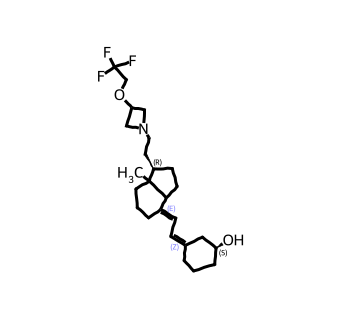 CC12CCC/C(=C\C=C3\CCC[C@H](O)C3)C1CC[C@@H]2CCN1CC(OCC(F)(F)F)C1